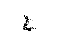 COc1cccc(-c2cc3c(N4CCN(c5ncc([C@H](C)c6ccc(F)cc6)cn5)CC4)ncnn3c2)c1